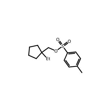 CCC1(COS(=O)(=O)c2ccc(C)cc2)CCCC1